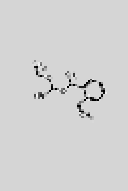 C=COC(CCC)OC(C)c1ccccc1C=C